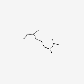 C[CH]C(C)CCCC(C)C(C)C